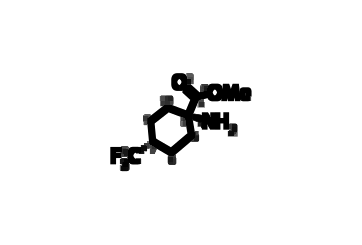 COC(=O)[C@]1(N)CC[C@H](C(F)(F)F)CC1